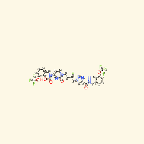 O=C(NCc1cccc(OC(F)(F)F)c1)c1cn(CC(F)CCn2ccc(N(Cc3cccc(OC(F)(F)F)c3)C(=O)O)nc2=O)nn1